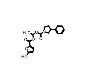 CC(OC(=O)c1ccc(O)o1)OC(=O)N1CCC(c2ccccc2)C1